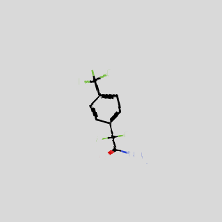 NC(=O)C(F)(F)c1ccc(C(F)(F)F)cc1